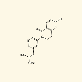 COC(C)Cc1cncc(N2CCc3cc(Cl)ccc3C2=O)c1